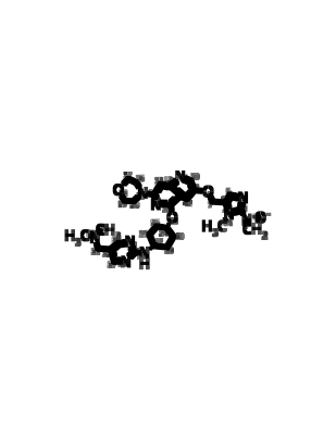 C=[N+]([O-])c1ncc(COc2cnc3cc(N4CCOCC4)nc(O[C@H]4CC[C@@H](Nc5ncc(CN(C)C)cn5)CC4)c3c2)n1C